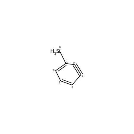 [SiH3]c1c#cccc1